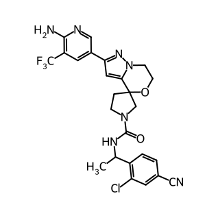 CC(NC(=O)N1CCC2(C1)OCCn1nc(-c3cnc(N)c(C(F)(F)F)c3)cc12)c1ccc(C#N)cc1Cl